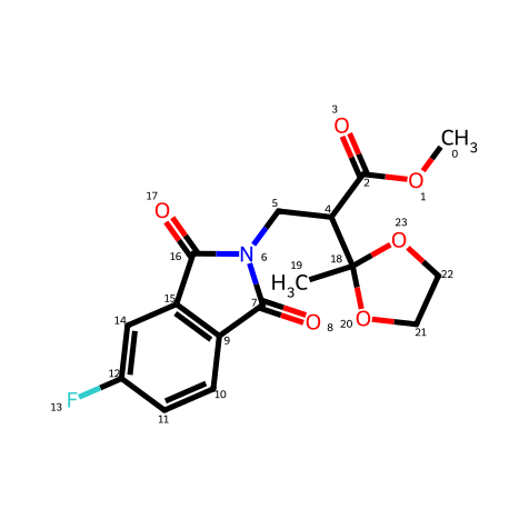 COC(=O)C(CN1C(=O)c2ccc(F)cc2C1=O)C1(C)OCCO1